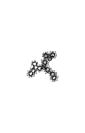 c1cc(-c2ccccc2-c2ccc3ccccc3c2)cc(N(c2ccc(-c3ccc4ccccc4c3)cc2)c2ccc(-c3cccc4c3oc3ccccc34)cc2)c1